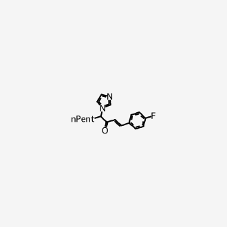 CCCCCC(C(=O)C=Cc1ccc(F)cc1)n1ccnc1